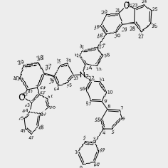 c1ccc(-c2cccc(-c3ccc(N(c4ccc(-c5ccc6oc7ccccc7c6c5)cc4)c4ccc(-c5cccc6oc7c8ccccc8ccc7c56)cc4)cc3)c2)cc1